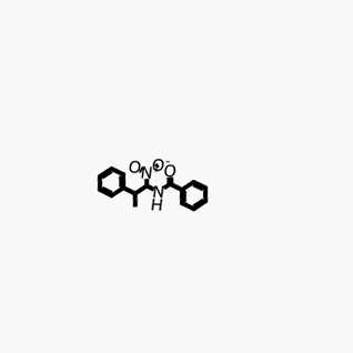 CC(c1ccccc1)C(NC(=O)c1ccccc1)[N+](=O)[O-]